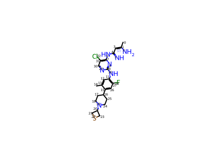 C/C(N)=C/C(=N)Nc1nc(Nc2cc(C)c(C3CCN(C4CSC4)CC3)cc2F)ncc1Cl